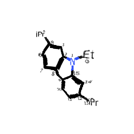 CCn1c2cc(C(C)C)ccc2c2ccc(C(C)C)cc21